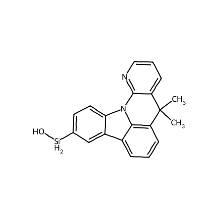 CC1(C)c2cccnc2-n2c3ccc([SiH2]O)cc3c3cccc1c32